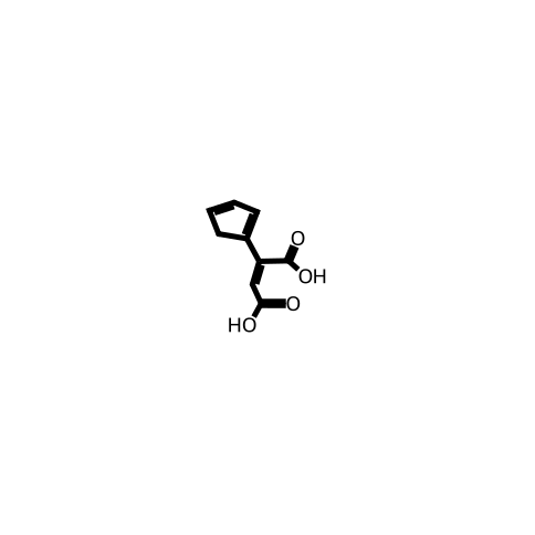 O=C(O)/C=C(\C(=O)O)C1=CC=CC1